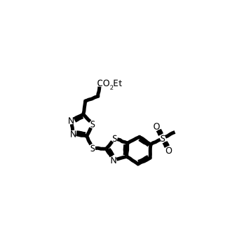 CCOC(=O)CCc1nnc(Sc2nc3ccc(S(C)(=O)=O)cc3s2)s1